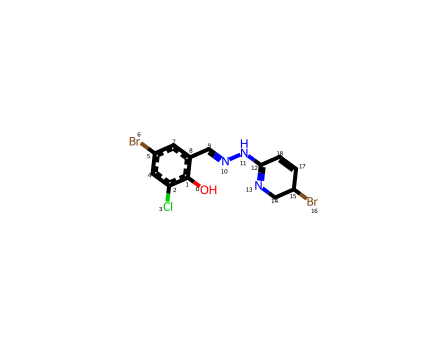 Oc1c(Cl)cc(Br)cc1/C=N/NC1=NCC(Br)C=C1